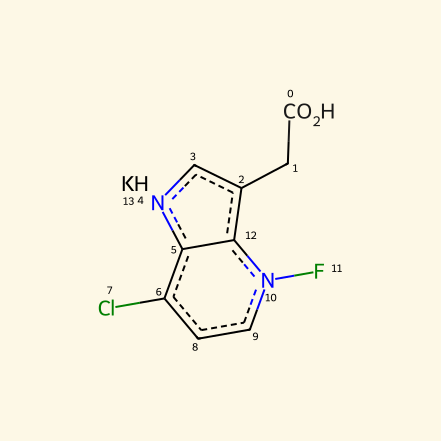 O=C(O)Cc1cnc2c(Cl)ccn(F)c1-2.[KH]